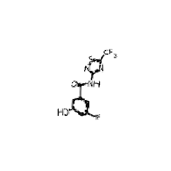 O=C(Nc1nsc(C(F)(F)F)n1)c1cc(O)cc(F)c1